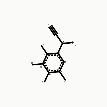 [C]#CC(CC)c1cc(C)c(C)c(C)c1C